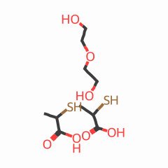 CC(S)C(=O)O.CC(S)C(=O)O.OCCOCCO